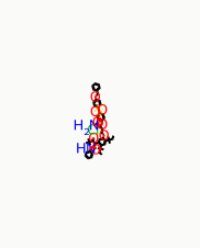 CCC(C)(C)c1cc(C(C)(C)CC)c(C(C(=O)Nc2ccccc2)C(=O)C(C)(C)C)cc1OCCC(Cl)(Oc1ccc(S(=O)(=O)c2ccc(OCc3ccccc3)cc2)cc1)C(N)=O